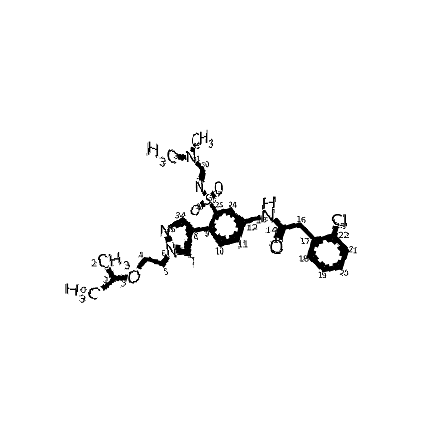 CC(C)OCCn1cc(-c2ccc(NC(=O)Cc3ccccc3Cl)cc2S(=O)(=O)/N=C/N(C)C)cn1